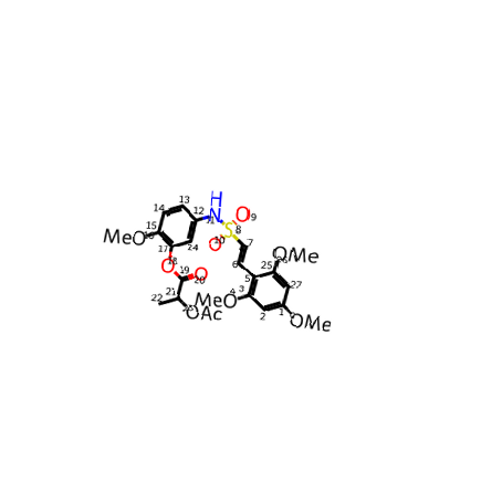 COc1cc(OC)c(/C=C/S(=O)(=O)Nc2ccc(OC)c(OC(=O)C(C)OC(C)=O)c2)c(OC)c1